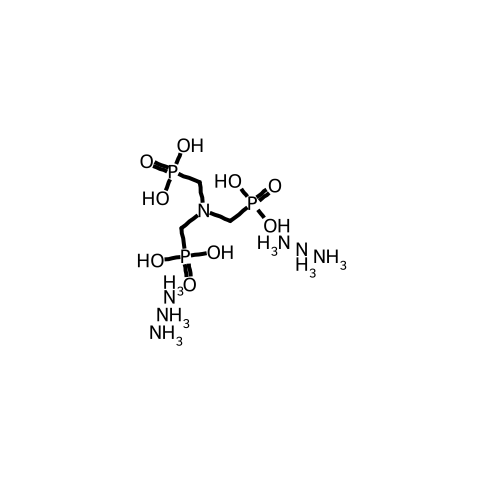 N.N.N.N.N.N.O=P(O)(O)CN(CP(=O)(O)O)CP(=O)(O)O